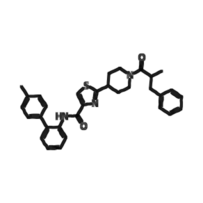 Cc1ccc(-c2ccccc2NC(=O)c2csc(C3CCN(C(=O)C(C)Cc4ccccc4)CC3)n2)cc1